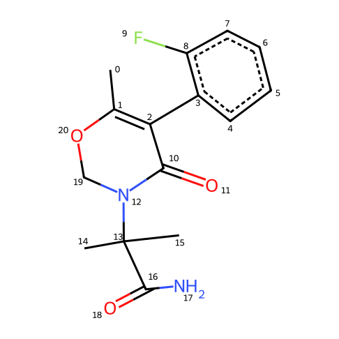 CC1=C(c2ccccc2F)C(=O)N(C(C)(C)C(N)=O)CO1